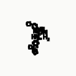 C=C(N[C@@H](CC(N)=O)c1nc2cc(Cl)ccc2[nH]1)c1ccc(C(=O)N2CCCC2)c(C)c1